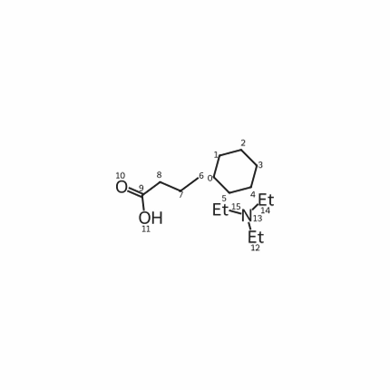 C1CCCCC1.CCCC(=O)O.CCN(CC)CC